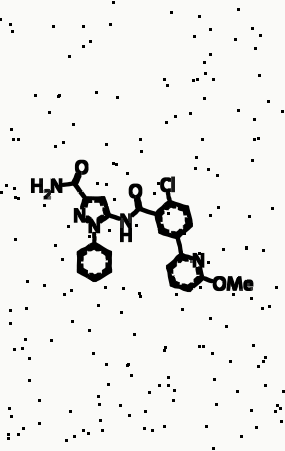 COc1cccc(-c2ccc(Cl)c(C(=O)Nc3cc(C(N)=O)nn3-c3ccccc3)c2)n1